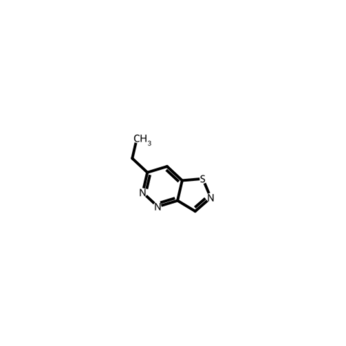 CCc1cc2sncc2nn1